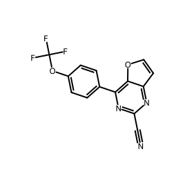 N#Cc1nc(-c2ccc(OC(F)(F)F)cc2)c2occc2n1